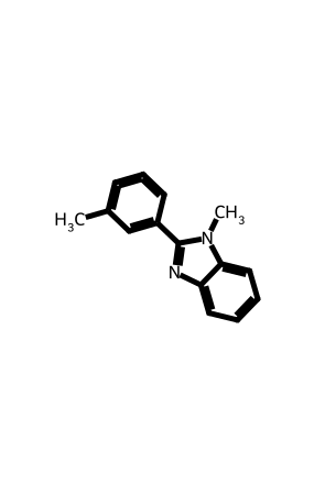 CC1=C=C=CC(c2nc3ccccc3n2C)=C1